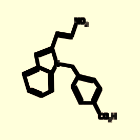 O=C(O)c1ccc(Cn2c(C=C[N+](=O)[O-])cc3ccccc32)cc1